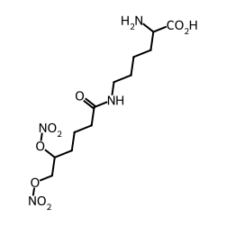 NC(CCCCNC(=O)CCCC(CO[N+](=O)[O-])O[N+](=O)[O-])C(=O)O